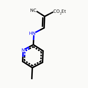 CCOC(=O)C(C#N)=CNc1ccc(C)cn1